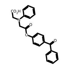 O=C(O)CN(CC(=O)Oc1ccc(C(=O)c2ccccc2)cc1)c1ccccc1